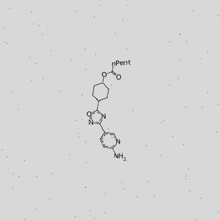 CCCCCC(=O)OC1CCC(c2nc(-c3ccc(N)nc3)no2)CC1